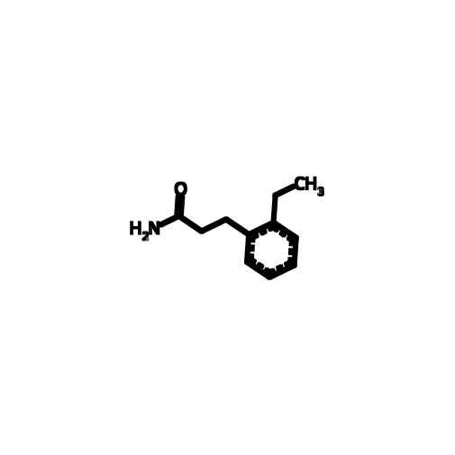 CCc1ccccc1CCC(N)=O